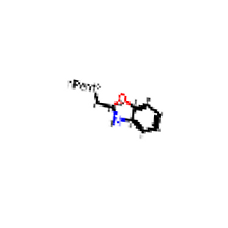 [CH2]CCCCCc1nc2ccccc2o1